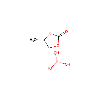 CC1COC(=O)O1.OB(O)O